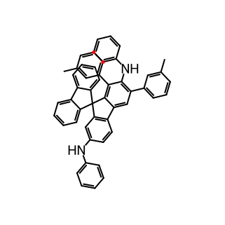 Cc1cccc(-c2cc3c(c(-c4cccc(C)c4)c2Nc2ccccc2)C2(c4ccccc4-c4ccccc42)c2cc(Nc4ccccc4)ccc2-3)c1